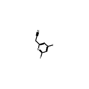 N#CCc1cc(I)cc(F)n1